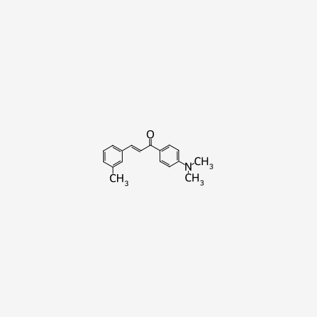 Cc1cccc(C=CC(=O)c2ccc(N(C)C)cc2)c1